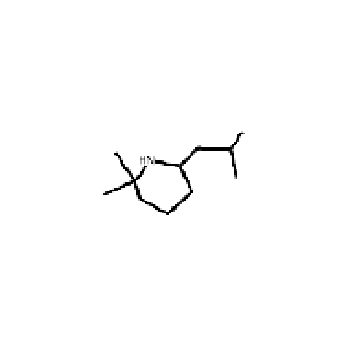 CC(C)CC1CCCC(C)(C)N1